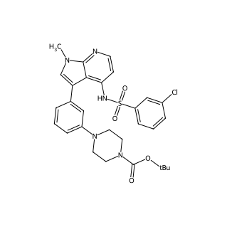 Cn1cc(-c2cccc(N3CCN(C(=O)OC(C)(C)C)CC3)c2)c2c(NS(=O)(=O)c3cccc(Cl)c3)ccnc21